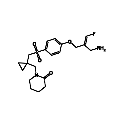 NCC(=CF)COc1ccc(S(=O)(=O)CC2(CN3CCCCC3=O)CC2)cc1